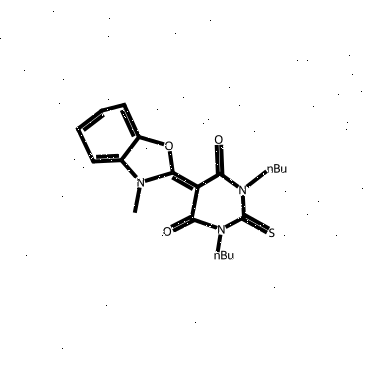 CCCCN1C(=O)C(=C2Oc3ccccc3N2C)C(=O)N(CCCC)C1=S